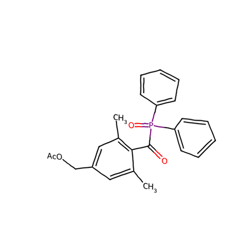 CC(=O)OCc1cc(C)c(C(=O)P(=O)(c2ccccc2)c2ccccc2)c(C)c1